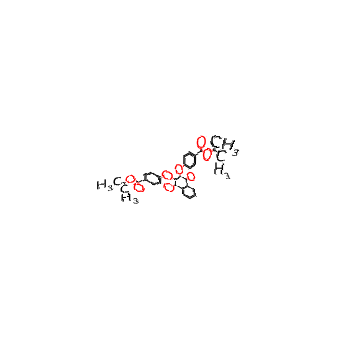 CC(C)OC(=O)c1ccc(OC2=C(Oc3ccc(C(=O)OC(C)C)cc3)C(=O)c3ccccc3C2=O)cc1